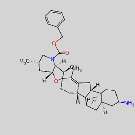 CC1=C2C[C@H]3C(CC[C@@H]4C[C@H](N)CC[C@@]43C)[C@@H]2CCC12O[C@@H]1C[C@H](C)CN(C(=O)OCc3ccccc3)[C@H]1[C@H]2C